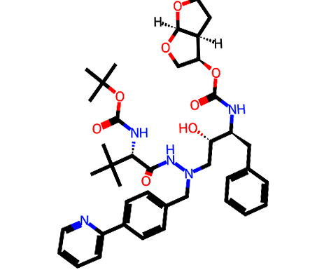 CC(C)(C)OC(=O)N[C@H](C(=O)NN(Cc1ccc(-c2ccccn2)cc1)C[C@H](O)[C@H](Cc1ccccc1)NC(=O)O[C@H]1CO[C@H]2OCC[C@H]21)C(C)(C)C